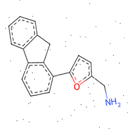 NCc1ccc(-c2cccc3c2Cc2ccccc2-3)o1